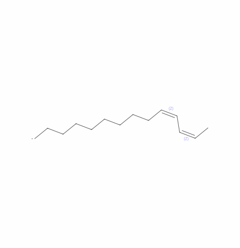 [CH2]CCCCCCCC/C=C\C=C/C